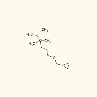 CC(C)[Si](C)(C)CCCOCC1CO1